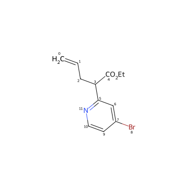 C=CCC(C(=O)OCC)c1cc(Br)ccn1